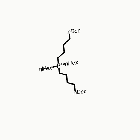 CCCCCCCCCCCCCC[P+](CCCCCC)(CCCCCC)CCCCCCCCCCCCCC.[Br-]